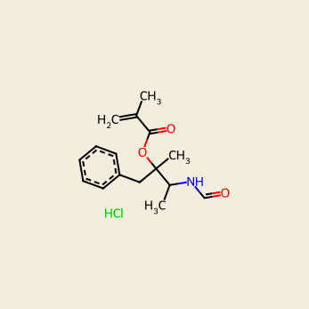 C=C(C)C(=O)OC(C)(Cc1ccccc1)C(C)NC=O.Cl